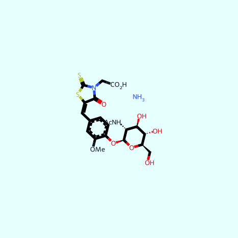 COc1cc(/C=C2/SC(=S)N(CC(=O)O)C2=O)ccc1O[C@@H]1O[C@H](CO)[C@@H](O)[C@H](O)[C@H]1NC(C)=O.N